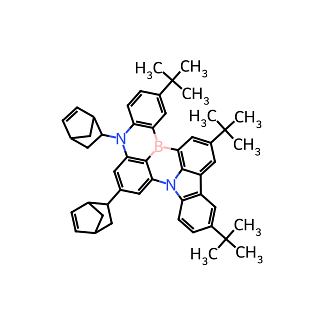 CC(C)(C)c1ccc2c(c1)B1c3c(cc(C4CC5C=CC4C5)cc3-n3c4ccc(C(C)(C)C)cc4c4cc(C(C)(C)C)cc1c43)N2C1CC2C=CC1C2